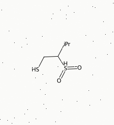 CC(C)C(CS)[SH](=O)=O